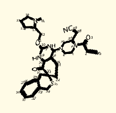 C=CC(=O)N1CCN(C2NC(OCC3CCCN3C)NC3C(=O)[C@@]4(CCC32)Cc2ccccc2CS4)CC1CC#N